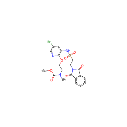 CC(C)N(CCOc1ncc(Br)cc1NS(=O)(=O)CCN1C(=O)c2ccccc2C1=O)C(=O)OC(C)(C)C